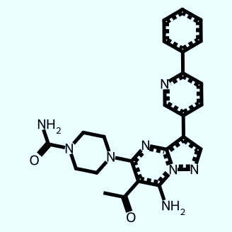 CC(=O)c1c(N2CCN(C(N)=O)CC2)nc2c(-c3ccc(-c4ccccc4)nc3)cnn2c1N